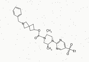 CCS(=O)(=O)c1cnc(N2C[C@@H](C)N(C(=O)OC3CC4(C3)CN(Cc3ccccc3)C4)C[C@@H]2C)nc1